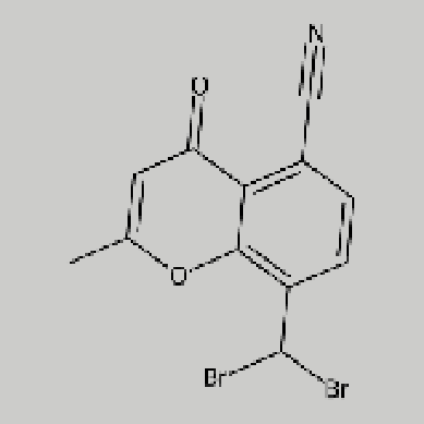 Cc1cc(=O)c2c(C#N)ccc(C(Br)Br)c2o1